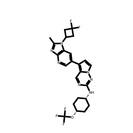 Cc1nc2ncc(-c3ccn4nc(N[C@H]5CC[C@@H](OC(F)(F)F)CC5)ncc34)cc2n1C1CC(F)(F)C1